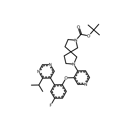 CC(C)c1ncncc1-c1cc(F)ccc1Oc1cnccc1N1CCC2(CCN(C(=O)OC(C)(C)C)C2)C1